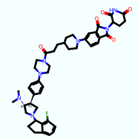 CN(C)[C@H]1CN(C2CCc3cccc(F)c32)C[C@@H]1c1ccc(N2CCN(C(=O)CCC3CCN(c4ccc5c(c4)C(=O)N(C4CCC(=O)NC4=O)C5=O)CC3)CC2)cc1